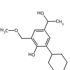 COCc1cc(C(C)O)cc(C2CCCCC2)c1O